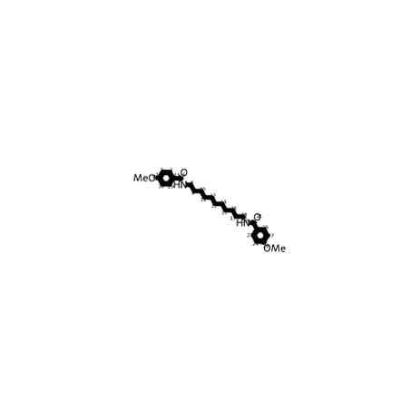 COc1ccc(C(=O)NCCCCCCCCCCCNC(=O)c2ccc(OC)cc2)cc1